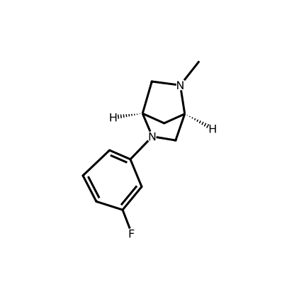 CN1C[C@H]2C[C@@H]1CN2c1cccc(F)c1